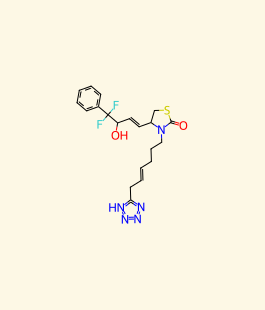 O=C1SCC(C=CC(O)C(F)(F)c2ccccc2)N1CCCC=CCc1nnn[nH]1